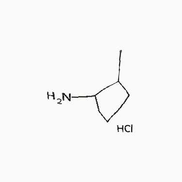 CC1CCC1N.Cl